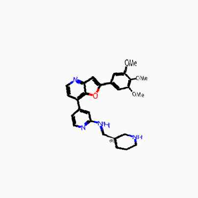 COc1cc(-c2cc3nccc(-c4ccnc(NC[C@@H]5CCCNC5)c4)c3o2)cc(OC)c1OC